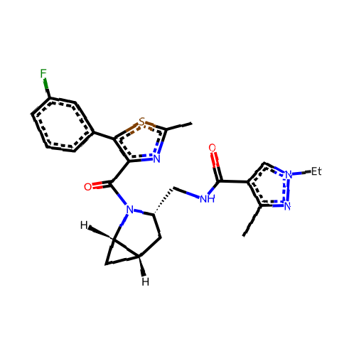 CCn1cc(C(=O)NC[C@@H]2C[C@@H]3C[C@@H]3N2C(=O)c2nc(C)sc2-c2cccc(F)c2)c(C)n1